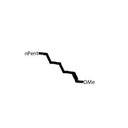 [CH2]O/C=C/CCCCCCCCC